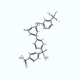 Cc1cc(Nc2nccc(C(F)(F)F)n2)cc(-c2ccc(C(C)(O)c3ccc(C(=O)O)cc3)nc2)c1